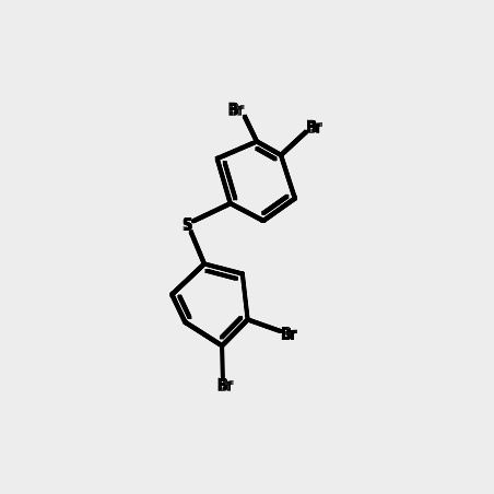 Brc1ccc(Sc2ccc(Br)c(Br)c2)cc1Br